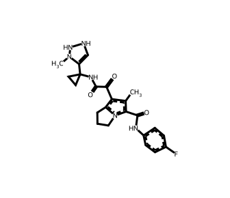 Cc1c(C(=O)C(=O)NC2(C3=CNNN3C)CC2)c2n(c1C(=O)Nc1ccc(F)cc1)CCC2